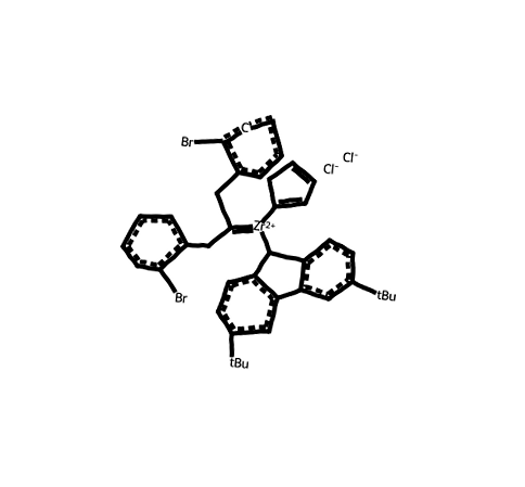 CC(C)(C)c1ccc2c(c1)-c1cc(C(C)(C)C)ccc1[CH]2[Zr+2]([C]1=CC=CC1)=[C](Cc1ccccc1Br)Cc1ccccc1Br.[Cl-].[Cl-]